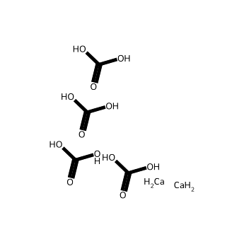 O=C(O)O.O=C(O)O.O=C(O)O.O=C(O)O.[CaH2].[CaH2]